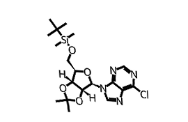 CC1(C)O[C@@H]2[C@H](O1)[C@@H](CO[Si](C)(C)C(C)(C)C)O[C@H]2n1cnc2c(Cl)ncnc21